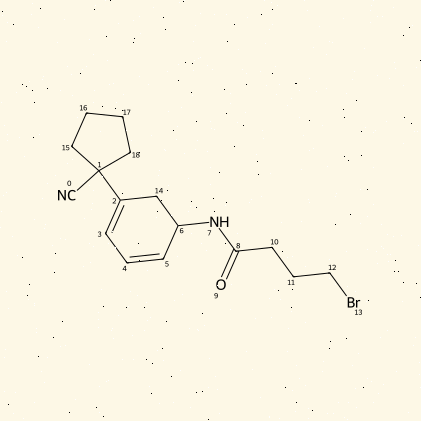 N#CC1(C2=CC=CC(NC(=O)CCCBr)C2)CCCC1